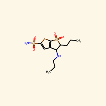 CCCNC1c2cc(S(N)(=O)=O)sc2S(=O)(=O)C1CCC